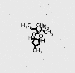 CCC(C)C1(C(C)C)O[C@H]2CC(C)C[C@H]2O1